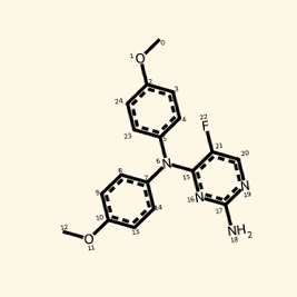 COc1ccc(N(c2ccc(OC)cc2)c2nc(N)ncc2F)cc1